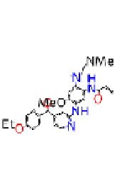 C=CC(=O)Nc1cc(Nc2cc(C(=O)c3ccc(OCC)cc3)ccn2)c(OC)cc1N(C)CCNC